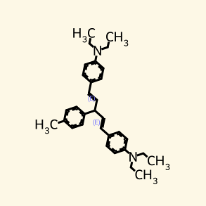 CCN(CC)c1ccc(/C=C/C(/C=C/c2ccc(N(CC)CC)cc2)c2ccc(C)cc2)cc1